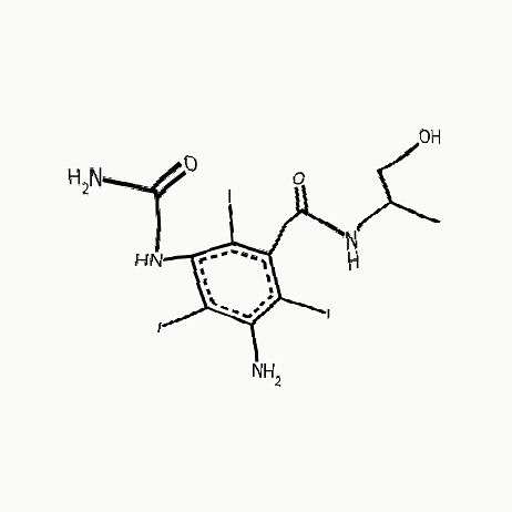 CC(CO)NC(=O)c1c(I)c(N)c(I)c(NC(N)=O)c1I